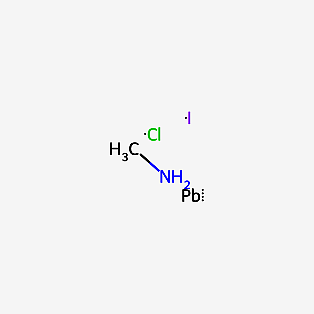 CN.[Cl].[I].[Pb]